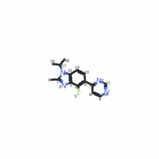 Cc1nc2c(F)c(-c3ccncn3)ccc2n1C(C)C